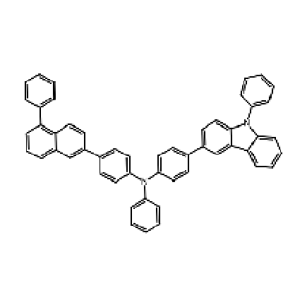 c1ccc(-c2cccc3cc(-c4ccc(N(c5ccccc5)c5ccc(-c6ccc7c(c6)c6ccccc6n7-c6ccccc6)cc5)cc4)ccc23)cc1